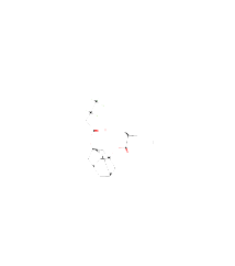 C=C(C)C(=O)OC12CC3CC(CC(OC(=O)CC(F)(F)C(F)(F)F)(C3)C1)C2